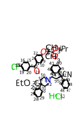 CC(C)OC(=O)C(C)(C)Oc1ccc(C(=O)c2ccc(Cl)cc2)cc1.CCOC(=O)C1(c2ccccc2)CCN(CCC(C#N)(c2ccccc2)c2ccccc2)CC1.Cl